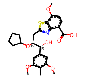 COc1cc([C@@H](O)[C@H](Cc2nc3c(C(=O)O)ccc(OC)c3s2)OC2CCCC2)cc(OC)c1C